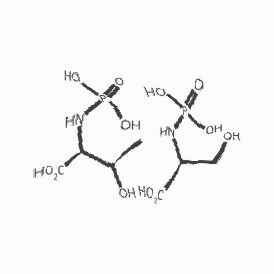 C[C@@H](O)[C@H](NP(=O)(O)O)C(=O)O.O=C(O)[C@H](CO)NP(=O)(O)O